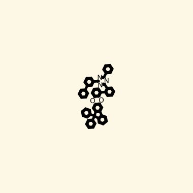 c1ccc(-c2cccc(-c3nc(-c4ccccc4)nc(-c4ccccc4-c4cccc5c4Oc4cc6c(cc4O5)C(c4ccccc4)(c4ccccc4)c4ccccc4-6)n3)c2)cc1